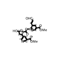 COC(=O)c1cncc(/C=C/C=O)c1.COC(=O)c1cncc(C2CC(O)ON2C(=O)OC(C)(C)C)c1